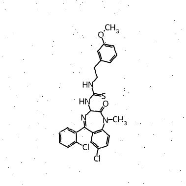 COc1cccc(CCNC(=S)NC2N=C(c3ccccc3Cl)c3cc(Cl)ccc3N(C)C2=O)c1